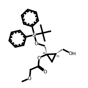 COCC(=O)O[C@]1(CO[Si](c2ccccc2)(c2ccccc2)C(C)(C)C)C[C@H]1CO